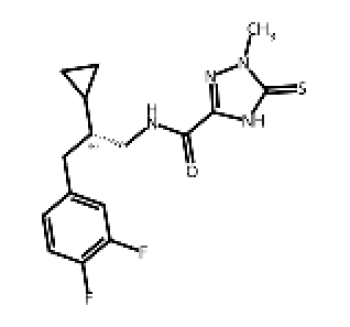 Cn1nc(C(=O)NC[C@H](Cc2ccc(F)c(F)c2)C2CC2)[nH]c1=S